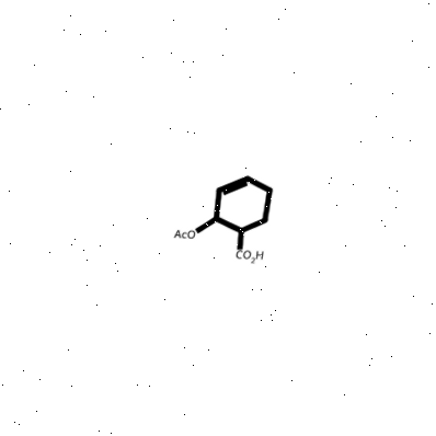 CC(=O)OC1C=CCCC1C(=O)O